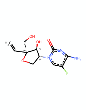 C=C[C@]1(CO)OC[C@@H](n2cc(F)c(N)nc2=O)[C@@H]1O